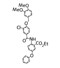 CCOC(=O)c1cc(Oc2ccccc2)ccc1NC(=O)c1ccc(OCc2ccc(OC)c(OC)c2)c(Cl)c1